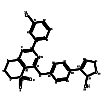 O=S1(=O)CCCc2nc(-c3cccc(Cl)c3)nc(Cc3ccc(C4=CCOB4O)cc3)c21